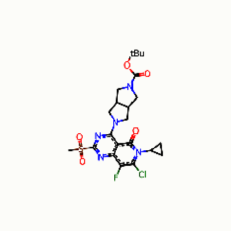 CC(C)(C)OC(=O)N1CC2CN(c3nc(S(C)(=O)=O)nc4c(F)c(Cl)n(C5CC5)c(=O)c34)CC2C1